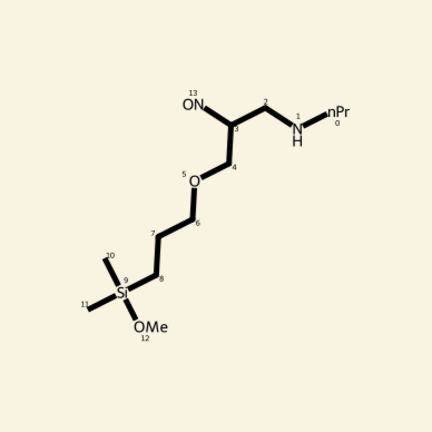 CCCNCC(COCCC[Si](C)(C)OC)N=O